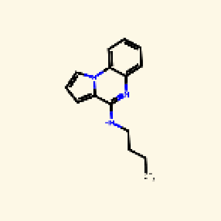 FC(F)(F)CCCNc1nc2ccccc2n2cccc12